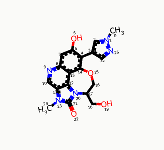 Cn1cc(-c2c(O)cc3ncc4c5c3c2OCC(CO)n5c(=O)n4C)cn1